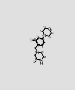 C[C@H]1CN(Cc2ccc(N3CCOCC3)cc2F)CCN1